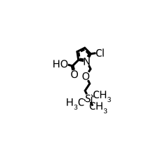 C[Si](C)(C)CCOCn1c(Cl)ccc1C(=O)O